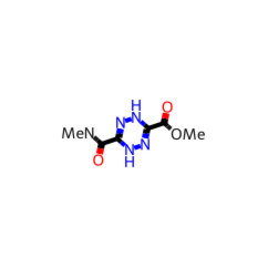 CNC(=O)C1=NNC(C(=O)OC)=NN1